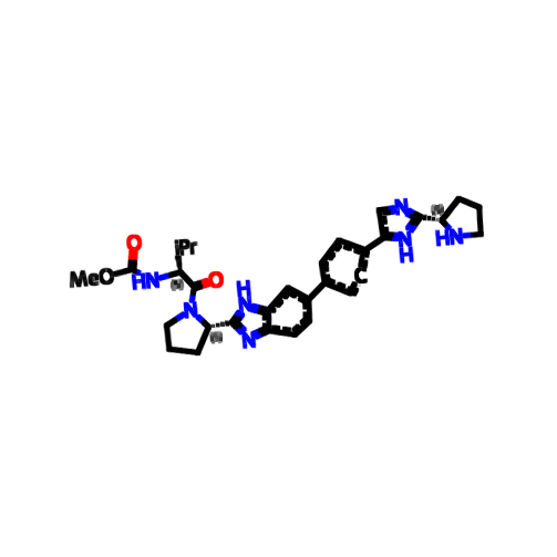 COC(=O)N[C@H](C(=O)N1CCC[C@H]1c1nc2ccc(-c3ccc(-c4cnc([C@@H]5CCCN5)[nH]4)cc3)cc2[nH]1)C(C)C